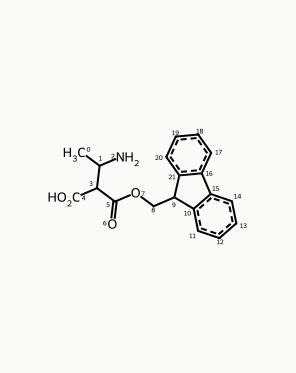 CC(N)C(C(=O)O)C(=O)OCC1c2ccccc2-c2ccccc21